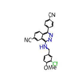 COc1ccc(CNc2nnc(-c3ccc(C#N)cc3)c3ccc(C#N)cc23)cc1Cl